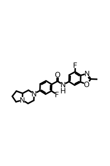 Cc1nc2c(F)cc(NC(=O)c3ccc(N4CCN5CCCC5C4)cc3F)cc2o1